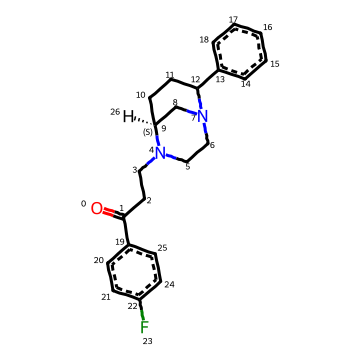 O=C(CCN1CCN2C[C@@H]1CCC2c1ccccc1)c1ccc(F)cc1